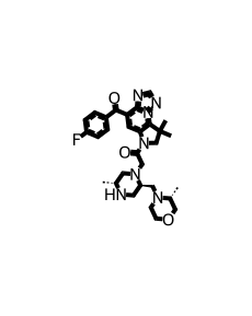 C[C@@H]1CN(CC(=O)N2CC(C)(C)c3c2cc(C(=O)c2ccc(F)cc2)c2ncnn32)[C@@H](CN2CCOC[C@H]2C)CN1